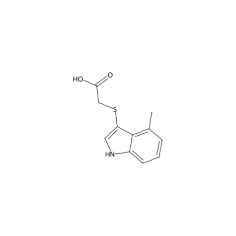 Cc1cccc2[nH]cc(SCC(=O)O)c12